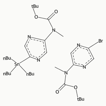 CCC[CH2][Sn]([CH2]CCC)([CH2]CCC)[c]1cnc(N(C)C(=O)OC(C)(C)C)cn1.CN(C(=O)OC(C)(C)C)c1cnc(Br)cn1